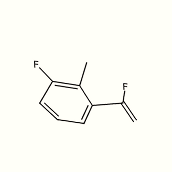 C=C(F)c1cccc(F)c1C